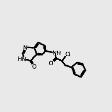 O=C(Nc1ccc2nc[nH]c(=O)c2c1)C(Cl)Cc1ccccc1